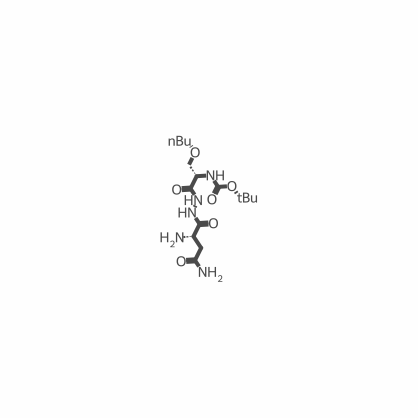 CCCCOC[C@H](NC(=O)OC(C)(C)C)C(=O)NNC(=O)[C@@H](N)CC(N)=O